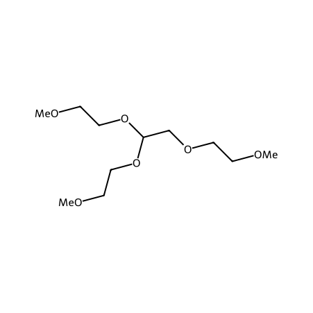 COCCOCC(OCCOC)OCCOC